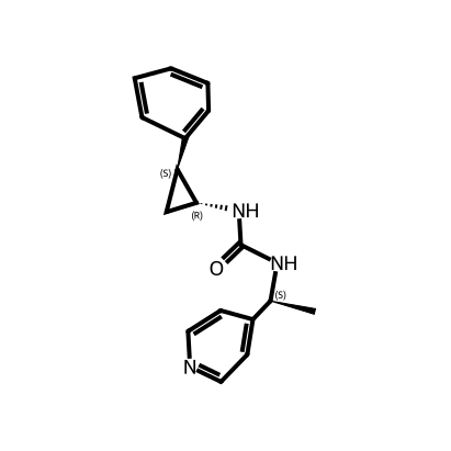 C[C@H](NC(=O)N[C@@H]1C[C@H]1c1ccccc1)c1ccncc1